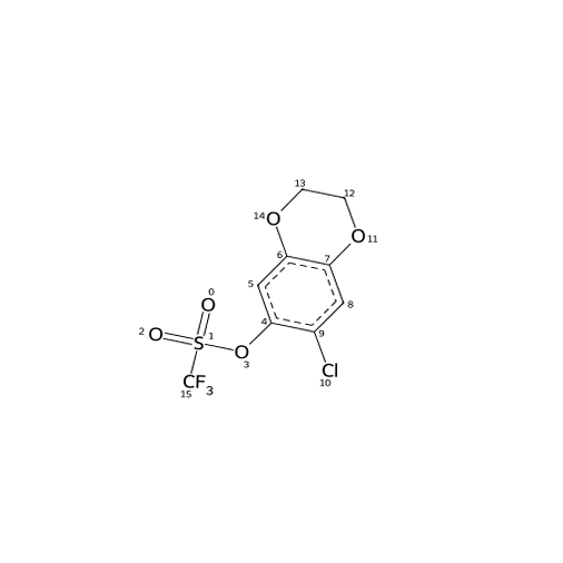 O=S(=O)(Oc1cc2c(cc1Cl)OCCO2)C(F)(F)F